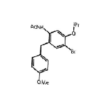 COc1ccc(Cc2cc(Br)c(OC(C)C)cc2NC(C)=O)cc1